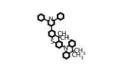 CC1(C)c2cc(-c3cc(-c4ccccc4)nc(-c4ccccc4)c3)ccc2Sc2ccc(N3c4ccccc4C(C)(C)c4ccccc43)cc21